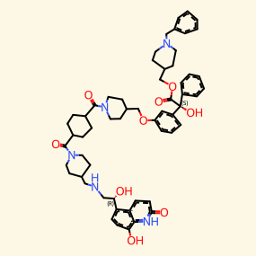 O=C(C1CCC(C(=O)N2CCC(COc3cccc([C@](O)(C(=O)OCC4CCN(Cc5ccccc5)CC4)c4ccccc4)c3)CC2)CC1)N1CCC(CNC[C@H](O)c2ccc(O)c3[nH]c(=O)ccc23)CC1